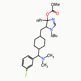 CCCCN1C=NC(CCC)(OC(=O)OC)C1CC1CCC(C(c2cccc(F)c2)N(C)C)CC1